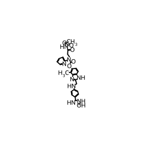 Cc1c(OC(=O)N(CCC(=O)NS(C)(=O)=O)c2ccccn2)ccc2[nH]c(CNc3ccc(C(=N)NO)cc3)nc12